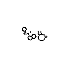 C=C1/C(c2ccc3c(C(=O)Nc4ccccc4)cccc3c2)=C\C=C/CN/N=C\1N